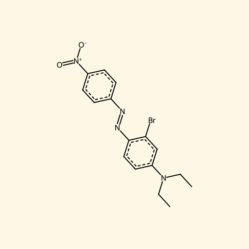 CCN(CC)c1ccc(N=Nc2ccc([N+](=O)[O-])cc2)c(Br)c1